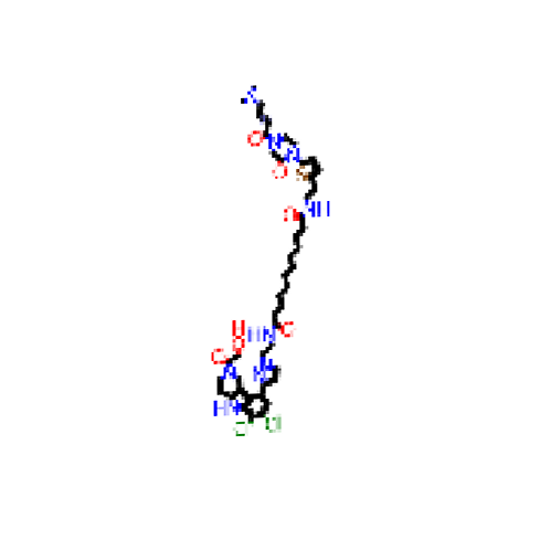 CN(C)C/C=C/C(=O)N1CCN(c2ccc(CCNC(=O)CCCCCCCCCCC(=O)NCCn3ccc(-c4cc(Cl)c(Cl)c5[nH]c6c(c45)CN(C(=O)CO)CC6)n3)s2)C(=O)C1